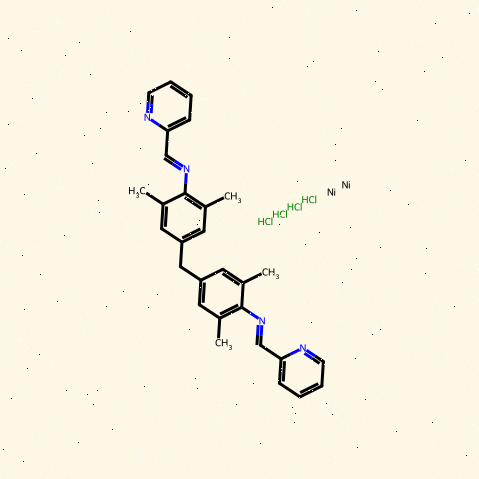 Cc1cc(Cc2cc(C)c(N=Cc3ccccn3)c(C)c2)cc(C)c1N=Cc1ccccn1.Cl.Cl.Cl.Cl.[Ni].[Ni]